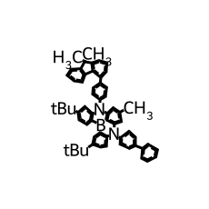 Cc1cc2c3c(c1)N(c1ccc(-c4cccc5c4-c4ccccc4C5(C)C)cc1)c1cc(C(C)(C)C)ccc1B3c1cc(C(C)(C)C)ccc1N2c1ccc(-c2ccccc2)cc1